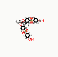 CC(C)(Oc1ccc(S(=O)(=O)c2ccc(O)cc2)cc1)Oc1ccc(S(=O)(=O)c2ccc(O)cc2)cc1